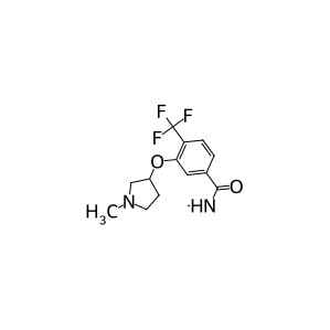 CN1CCC(Oc2cc(C([NH])=O)ccc2C(F)(F)F)C1